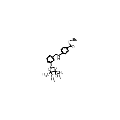 CC(C)(C)OC(=O)c1ccc(NCc2cccc(B3OC(C)(C)C(C)(C)O3)c2)cc1